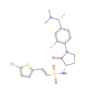 C[C@H](c1ccc(N2CC[C@H](NS(=O)(=O)C=Cc3ccc(Cl)s3)C2=O)c(F)c1)N(C)C